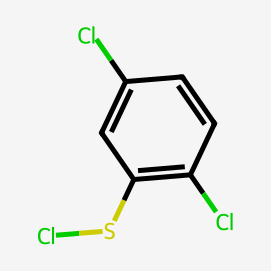 ClSc1cc(Cl)ccc1Cl